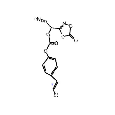 CC/C=C/c1ccc(OC(=O)OC(CCCCCCCCC)c2noc(=O)o2)cc1